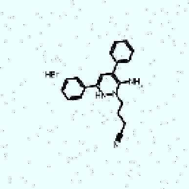 Br.N#CCCCN1NC(c2ccccc2)=CC(c2ccccc2)=C1N